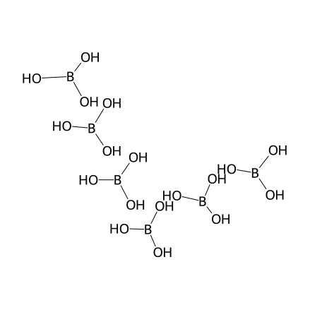 OB(O)O.OB(O)O.OB(O)O.OB(O)O.OB(O)O.OB(O)O